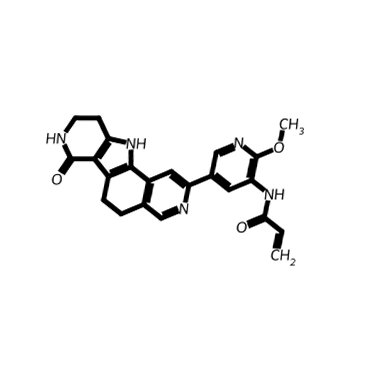 C=CC(=O)Nc1cc(-c2cc3c(cn2)CCc2c-3[nH]c3c2C(=O)NCC3)cnc1OC